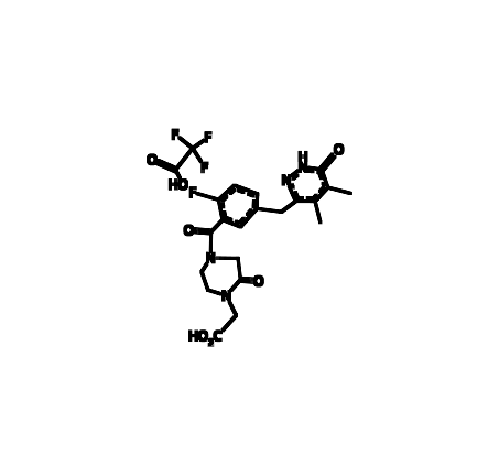 Cc1c(Cc2ccc(F)c(C(=O)N3CCN(CC(=O)O)C(=O)C3)c2)n[nH]c(=O)c1C.O=C(O)C(F)(F)F